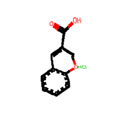 Cl.O=C(O)C1=Cc2ccccc2OC1